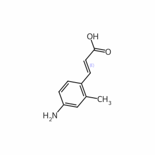 Cc1cc(N)ccc1/C=C/C(=O)O